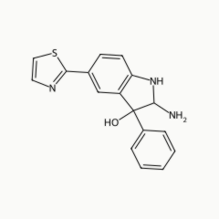 NC1Nc2ccc(-c3nccs3)cc2C1(O)c1ccccc1